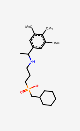 COc1cc(C(C)NCCCP(=O)(O)CC2CCCCC2)cc(OC)c1OC